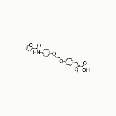 CO[C@@H](Cc1ccc(OCCOc2ccc(NC(=O)c3ccco3)cc2)cc1)C(=O)O